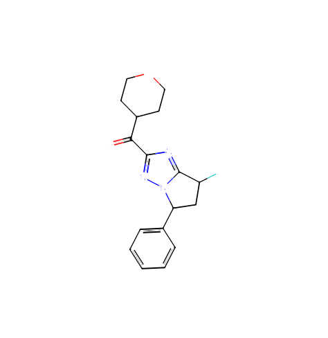 O=C(c1nc2n(n1)C(c1ccccc1)CC2F)C1CCOCC1